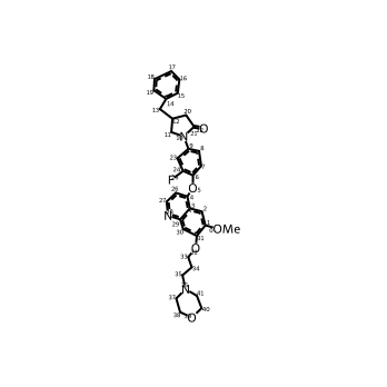 COc1cc2c(Oc3ccc(N4CC(Cc5ccccc5)CC4=O)cc3F)ccnc2cc1OCCCN1CCOCC1